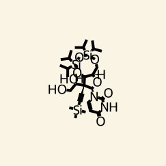 CC(C)[Si]1(C(C)C)OC[C@H]2O[C@@H](n3ccc(=O)[nH]c3=O)[C@](C#C[Si](C)(C)C)(C(O)CO)[C@@H]2O[Si](C(C)C)(C(C)C)O1